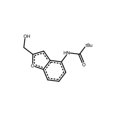 CC(C)(C)C(=O)Nc1cccc2oc(CO)cc12